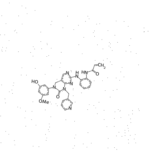 C=CC(=O)Nc1ccccc1Nc1ncc2c(n1)N(Cc1cccnc1)C(=O)N(c1cc(O)cc(OC)c1)C2